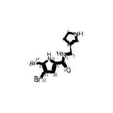 O=C(NC[C@H]1CCNC1)c1cc(Br)c(Br)[nH]1